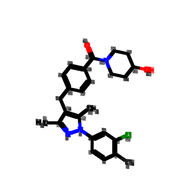 Cc1nn(-c2ccc(C#N)c(Cl)c2)c(C)c1Cc1ccc(C(=O)N2CCC(O)CC2)cc1